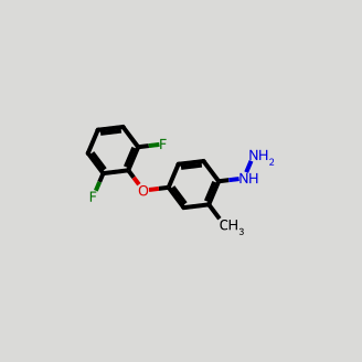 Cc1cc(Oc2c(F)cccc2F)ccc1NN